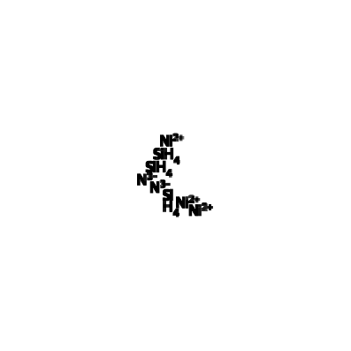 [N-3].[N-3].[Ni+2].[Ni+2].[Ni+2].[SiH4].[SiH4].[SiH4]